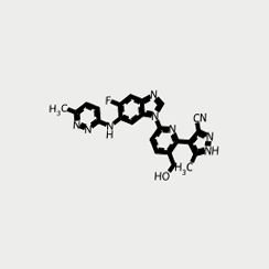 Cc1ccc(Nc2cc3c(cc2F)ncn3-c2ccc(CO)c(-c3c(C#N)n[nH]c3C)n2)nn1